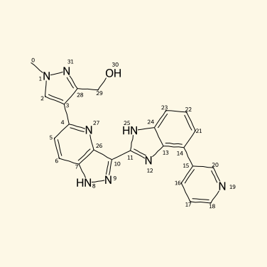 Cn1cc(-c2ccc3[nH]nc(-c4nc5c(-c6cccnc6)cccc5[nH]4)c3n2)c(CO)n1